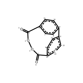 O=C1OOC(=O)c2ccc(cc2)-c2ccc1cc2